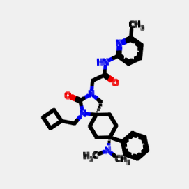 Cc1cccc(NC(=O)CN2C[C@]3(CC[C@@](c4ccccc4)(N(C)C)CC3)N(CC3CCC3)C2=O)n1